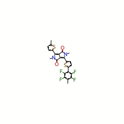 Cc1ccc(C2=C3C(=O)N(C)C(c4ccc(-c5c(F)c(F)c(C)c(F)c5F)s4)=C3C(=O)N2C)s1